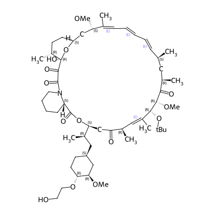 CO[C@H]1C[C@@H]2CC[C@@H](C)[C@@](O)(O2)C(=O)C(=O)N2CCCC[C@H]2C(=O)O[C@H]([C@H](C)C[C@@H]2CC[C@@H](OCCO)[C@H](OC)C2)CC(=O)[C@H](C)/C=C(\C)[C@@H](OC(C)(C)C)[C@@H](OC)C(=O)[C@H](C)C[C@H](C)/C=C/C=C/C=C/1C